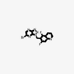 Fc1cc2ncccc2c(F)c1Cn1nnc2ncc(Br)nc21